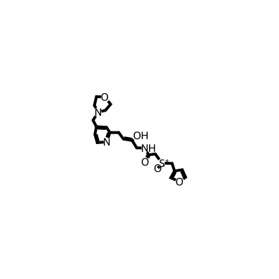 O=C(C[S+]([O-])Cc1ccoc1)NCC(O)=CCc1cc(CN2CCOCC2)ccn1